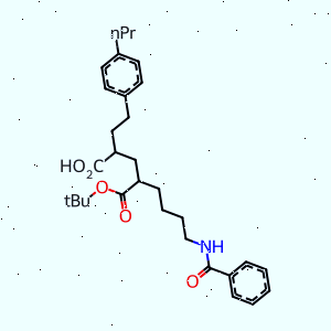 CCCc1ccc(CCC(CC(CCCCNC(=O)c2ccccc2)C(=O)OC(C)(C)C)C(=O)O)cc1